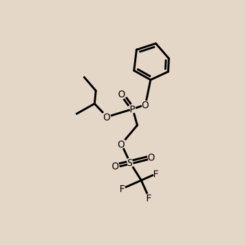 CCC(C)OP(=O)(COS(=O)(=O)C(F)(F)F)Oc1ccccc1